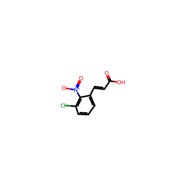 O=C(O)C=Cc1cccc(Cl)c1[N+](=O)[O-]